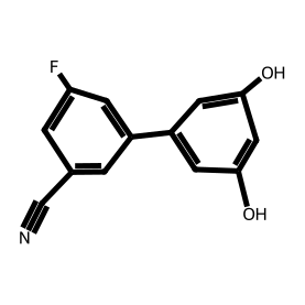 N#Cc1cc(F)cc(-c2cc(O)cc(O)c2)c1